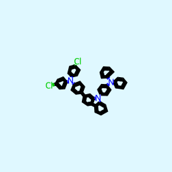 Clc1ccc(N(c2ccc(Cl)cc2)c2ccc(-c3ccc4c5ccccc5n(-c5ccc(N(c6ccccc6)c6ccccc6)cc5)c4c3)cc2)cc1